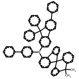 CC1(C)c2ccccc2C2(c3ccccc3-c3c(N(c4ccc(-c5ccccc5)cc4)c4ccc5c(c4)C(c4ccccc4)(c4ccccc4)c4cc(-c6ccccc6)ccc4-5)cccc32)c2ccccc21